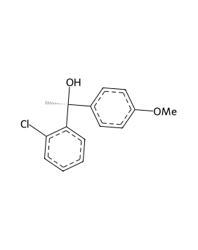 COc1ccc([C@](C)(O)c2ccccc2Cl)cc1